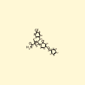 CC1=C(C(N)=O)SC(n2ccc(OCc3ccccc3)cc2=O)N1Cc1ccc(C(F)(F)F)nc1